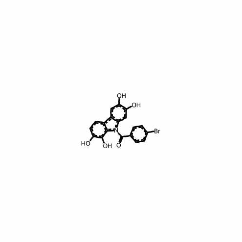 O=C(c1ccc(Br)cc1)n1c2cc(O)c(O)cc2c2ccc(O)c(O)c21